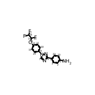 Nc1ccc(-c2ncn(-c3ccc(OC(F)C(F)F)cc3)n2)cc1